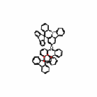 c1ccc(-c2ccccc2N(c2cc3c4c(c2)c2ccccc2n4-c2ccccc2C32c3ccccc3-c3ccccc32)c2cccc3c2-c2ccccc2C32c3ccccc3-c3ccccc32)cc1